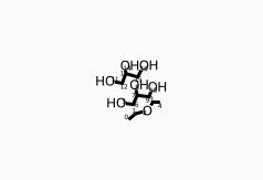 CCOCC.OCC(O)CO.OCC(O)CO